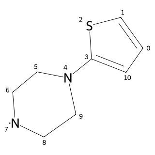 c1csc(N2CC[N]CC2)c1